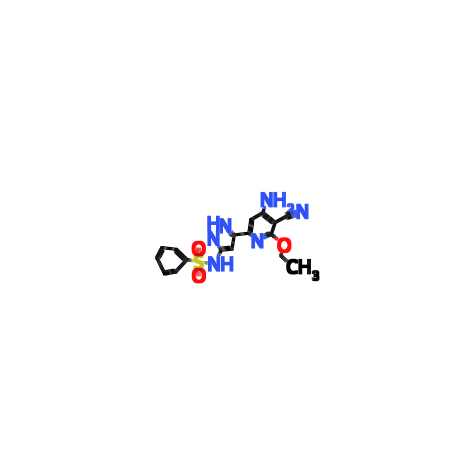 CCOc1nc(-c2cc(NS(=O)(=O)c3ccccc3)[nH]n2)cc(N)c1C#N